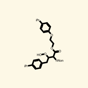 CCCCCCCCCC(C(=O)OCCOc1ccc(C(C)C)cc1)C(Cc1ccc(C(C)C)cc1)OO